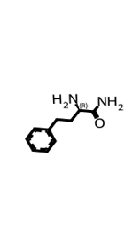 NC(=O)[C@H](N)CCc1ccccc1